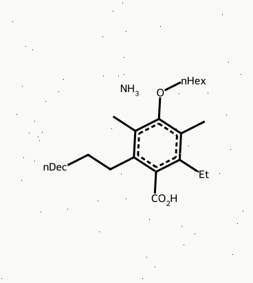 CCCCCCCCCCCCc1c(C)c(OCCCCCC)c(C)c(CC)c1C(=O)O.N